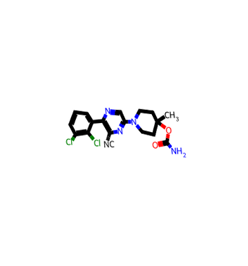 CC1(OC(N)=O)CCN(c2cnc(-c3cccc(Cl)c3Cl)c(C#N)n2)CC1